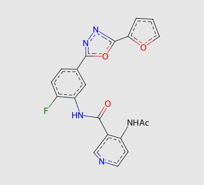 CC(=O)Nc1ccncc1C(=O)Nc1cc(-c2nnc(-c3ccco3)o2)ccc1F